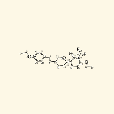 CCOc1ccc(/C=C/C2CCC(c3ccc(OCC)c(C(F)F)c3F)OC2)cc1